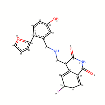 O=C1NC(=O)C(CNCc2cc(O)ccc2-c2ccco2)C2=CC(I)CC=C12